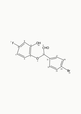 O=CC(Oc1ccc(F)cc1O)c1ccc(Br)cc1